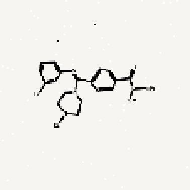 CCCN(CCC)C(=O)c1ccc(C(=Nc2cccc(Br)c2)N2CCN(CC)CC2)cc1